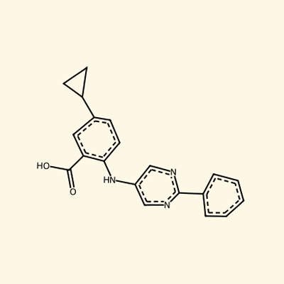 O=C(O)c1cc(C2CC2)ccc1Nc1cnc(-c2ccccc2)nc1